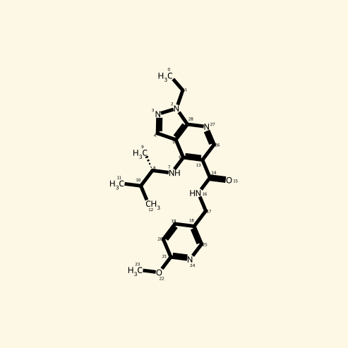 CCn1ncc2c(N[C@@H](C)C(C)C)c(C(=O)NCc3ccc(OC)nc3)cnc21